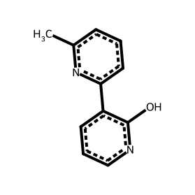 Cc1cccc(-c2cccnc2O)n1